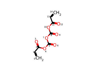 C=CC(=O)OC(=O)OC(=O)OC(=O)C=C